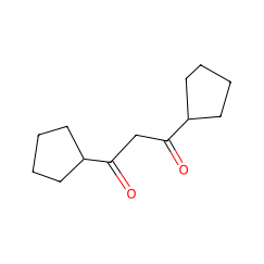 O=C(CC(=O)C1CCCC1)C1CCCC1